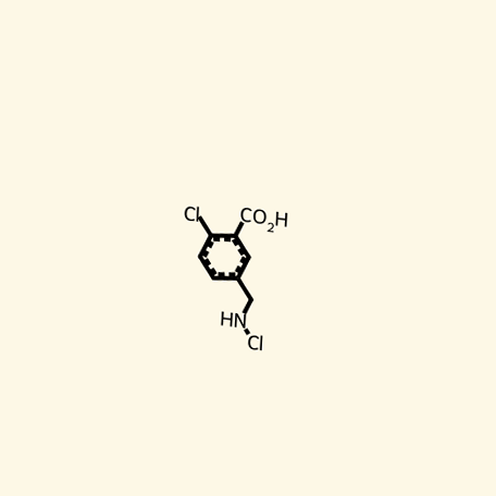 O=C(O)c1cc(CNCl)ccc1Cl